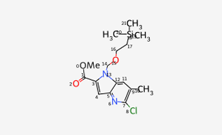 COC(=O)c1cc2nc(Cl)c(C)cc2n1COCC[Si](C)(C)C